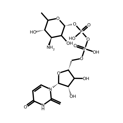 C=C1NC(=O)C=CN1[C@@H]1O[C@H](COP(=O)(O)OP(=O)(O)O[C@H]2OC(C)[C@@H](O)[C@H](N)C2O)C(O)[C@@H]1O